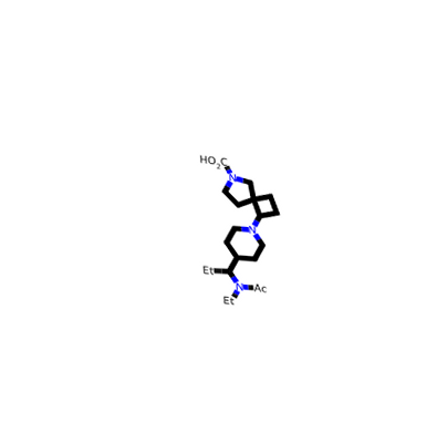 CCC(C1CCN(C2CCC23CCN(C(=O)O)C3)CC1)N(CC)C(C)=O